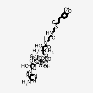 CC(C)(COP(=O)(O)OP(=O)(O)OC[C@H]1O[C@@H](n2cnc3c(N)ncnc32)[C@H](O)[C@@H]1OP(=O)(O)O)C(O)C(=O)NCCC(=O)NCCSC(=O)/C=C/c1ccc2c(c1)OCO2